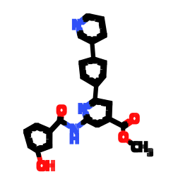 COC(=O)c1cc(NC(=O)c2cccc(O)c2)nc(-c2ccc(-c3cccnc3)cc2)c1